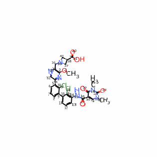 COc1nc(-c2cccc(-c3cccc(NC(=O)c4cn(C)c(=O)n(C)c4=O)c3Cl)c2Cl)cnc1CN1CC(C(=O)O)C1